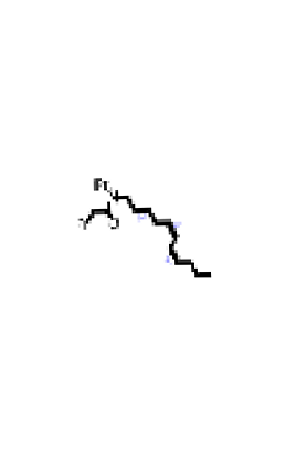 C=CC/C=C\C=C/C/C=C/CN(C(=O)CC(C)C)C(C)C